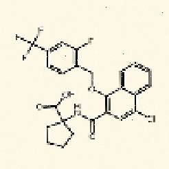 O=C(NC1(C(=O)O)CCCC1)c1cc(Cl)c2ccccc2c1OCc1ccc(C(F)(F)F)cc1F